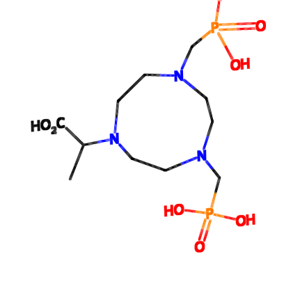 CC(C(=O)O)N1CCN(CP(=O)(O)O)CCN(CP(=O)(O)O)CC1